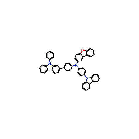 c1ccc(-n2c3ccccc3c3ccc(-c4ccc(N(c5ccc(-n6c7ccccc7c7ccccc76)cc5)c5ccc6oc7ccccc7c6c5)cc4)cc32)cc1